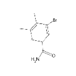 CC1=C(C)C(Br)=CC(C(N)=O)[CH]1